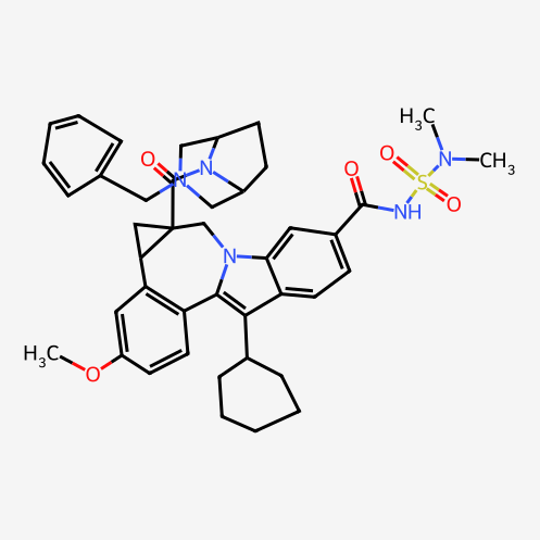 COc1ccc2c(c1)C1CC1(C(=O)N1C3CCC1CN(Cc1ccccc1)C3)Cn1c-2c(C2CCCCC2)c2ccc(C(=O)NS(=O)(=O)N(C)C)cc21